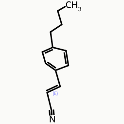 CCCCc1ccc(/C=C/C#N)cc1